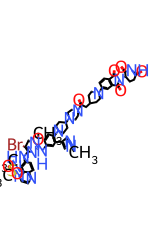 COc1cc(N2CCC(N3CCN(C(=O)CC4CCN(c5ccc6c(c5)C(=O)N(C5CCC(=O)NC5=O)C6=O)CC4)CC3)CC2)c(-c2cnn(C)c2)cc1Nc1ncc(Br)c(Nc2ccc3nccnc3c2N(C)S(C)(=O)=O)n1